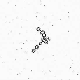 N[N+]12C=CN=CC1=C(C1CC(N3CCC(N4CCCC4)CC3)C1)N=C2c1ccc2ccc(-c3ccccc3)nc2c1